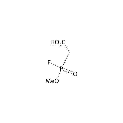 COP(=O)(F)CC(=O)O